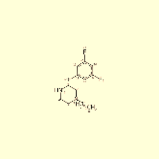 C.CN1CCNCC1.Fc1cc(F)cc(F)c1